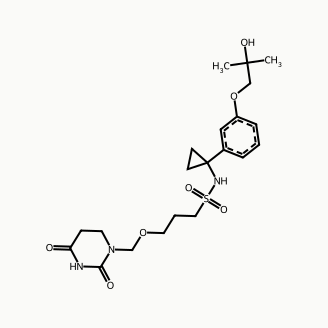 CC(C)(O)COc1cccc(C2(NS(=O)(=O)CCCOCN3CCC(=O)NC3=O)CC2)c1